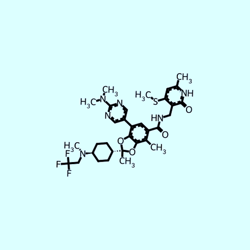 CSc1cc(C)[nH]c(=O)c1CNC(=O)c1cc(-c2cnc(N(C)C)nc2)c2c(c1C)OC(C)([C@H]1CC[C@H](N(C)CC(F)(F)F)CC1)O2